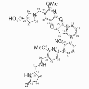 COc1nc(-c2cccc(-c3cccc4c3CC[C@@H]4Oc3nc(OC)c(CN4CC[C@@H](C(=O)O)C4)cc3Cl)c2C#N)ccc1CNC[C@@H]1CCC(=O)N1